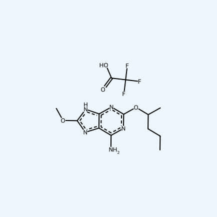 CCCC(C)Oc1nc(N)c2nc(OC)[nH]c2n1.O=C(O)C(F)(F)F